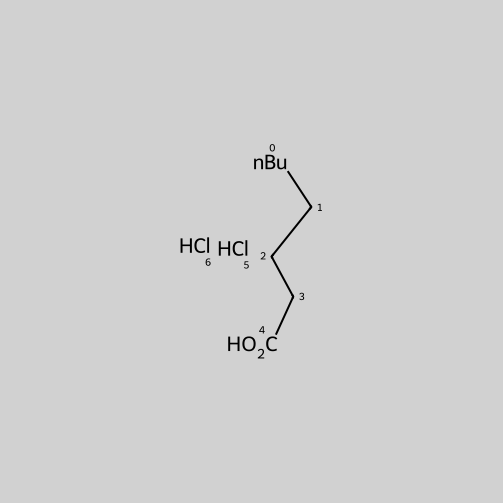 CCCCCCCC(=O)O.Cl.Cl